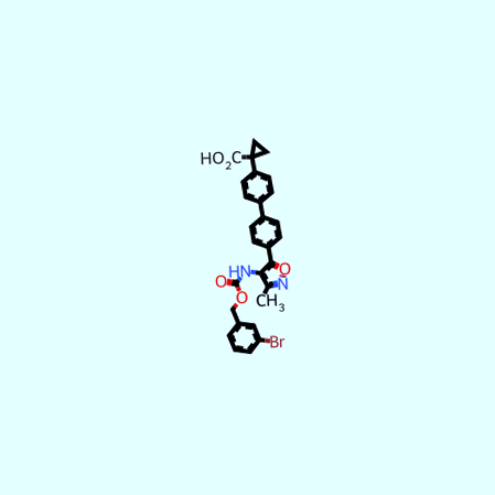 Cc1noc(-c2ccc(-c3ccc(C4(C(=O)O)CC4)cc3)cc2)c1NC(=O)OCc1cccc(Br)c1